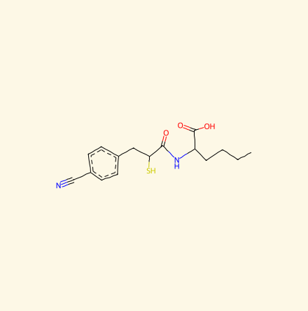 CCCCC(NC(=O)C(S)Cc1ccc(C#N)cc1)C(=O)O